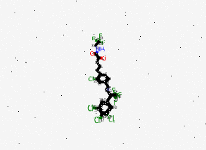 O=C(CCCc1ccc(/C=C/C(c2cc(Cl)c(Cl)c(Cl)c2)C(F)(F)F)cc1Cl)C(=O)NCC(F)(F)F